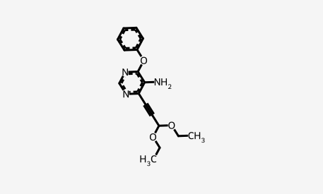 CCOC(C#Cc1ncnc(Oc2ccccc2)c1N)OCC